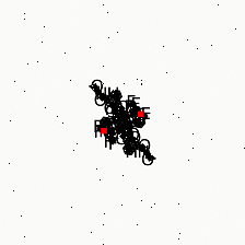 O=C(CCOC(=O)C(Cc1ccccc1)N1C(=O)c2cc(Oc3cccc(C(F)(F)F)c3)c3c4c(Oc5cccc(C(F)(F)F)c5)cc5c6c(cc(Oc7cccc(C(F)(F)F)c7)c(c7c(Oc8cccc(C(F)(F)F)c8)cc(c2c37)C1=O)c64)C(=O)N(C(Cc1ccccc1)C(=O)OCCC(=O)NCC1CO1)C5=O)NCC1CO1